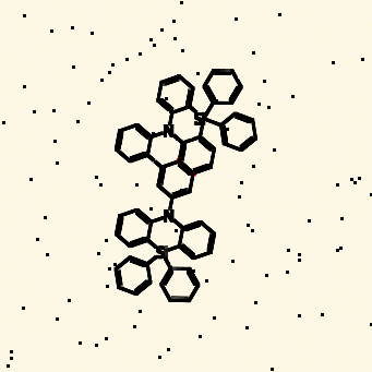 c1ccc([Si]2(c3ccccc3)c3ccccc3N(c3cccc(-c4ccccc4N4c5ccccc5[Si](c5ccccc5)(c5ccccc5)c5ccccc54)c3)c3ccccc32)cc1